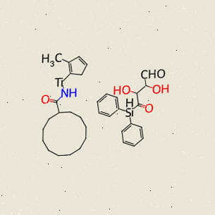 CC1=[C]([Ti][NH]C(=O)C2CCCCCCCCCCC2)CC=C1.O=CC(O)C(O)C(=O)[SiH](c1ccccc1)c1ccccc1